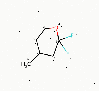 CC1CCOC(F)(F)C1